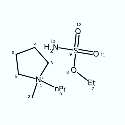 CCC[N+]1(C)CCCC1.CCOS(N)(=O)=O